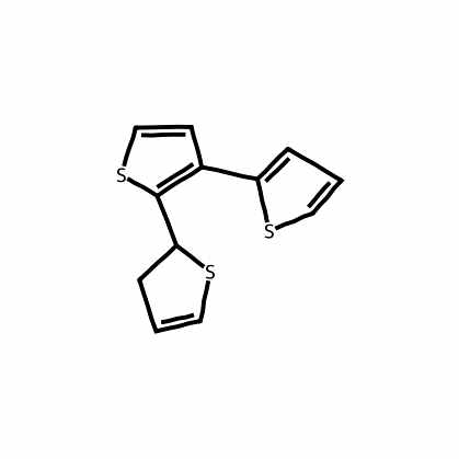 C1=CSC(c2sccc2-c2cccs2)C1